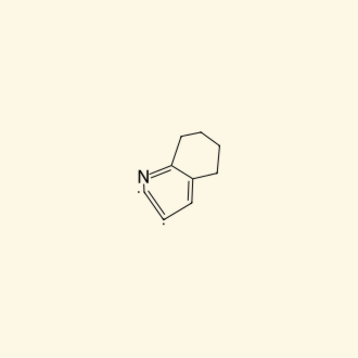 [c]1[c]nc2c(c1)CCCC2